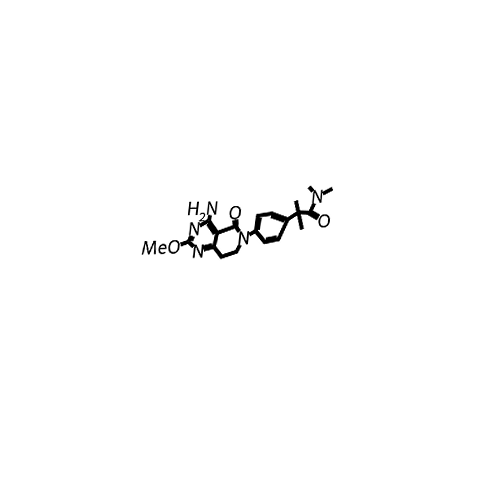 COc1nc(N)c2c(n1)CCN(c1ccc(C(C)(C)C(=O)N(C)C)cc1)C2=O